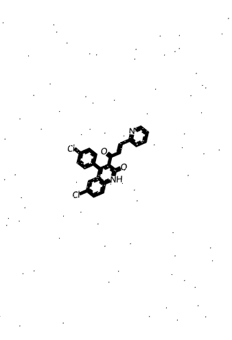 O=C(/C=C/c1ccccn1)c1c(-c2ccc(Cl)cc2)c2cc(Cl)ccc2[nH]c1=O